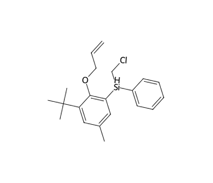 C=CCOc1c([SiH](CCl)c2ccccc2)cc(C)cc1C(C)(C)C